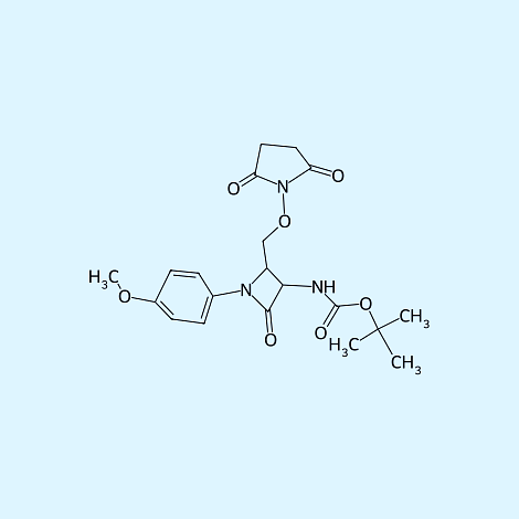 COc1ccc(N2C(=O)C(NC(=O)OC(C)(C)C)C2CON2C(=O)CCC2=O)cc1